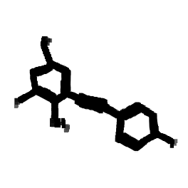 Nc1c(F)cc(Br)cc1C#Cc1ccc(F)cc1